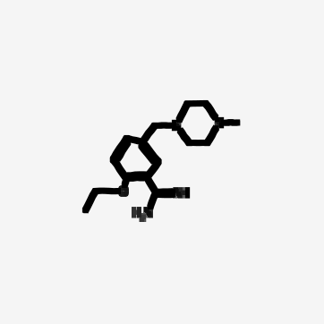 CCOc1ccc(CN2CCN(C)CC2)cc1C(=N)N